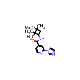 COC1(C)CC(NC(=O)c2ccnc(-n3ccnc3)c2)C1(C)C